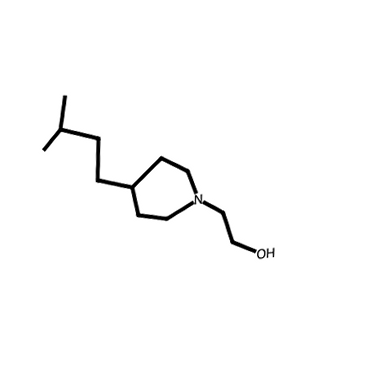 CC(C)CCC1CCN(CCO)CC1